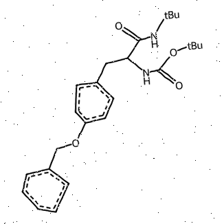 CC(C)(C)NC(=O)C(Cc1ccc(OCc2ccccc2)cc1)NC(=O)OC(C)(C)C